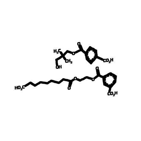 CC(C)(CO)COC(=O)c1ccc(C(=O)O)cc1.O=C(O)CCCCCCCC(=O)OCCOC(=O)c1cccc(C(=O)O)c1